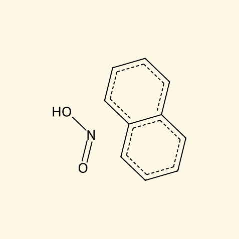 O=NO.c1ccc2ccccc2c1